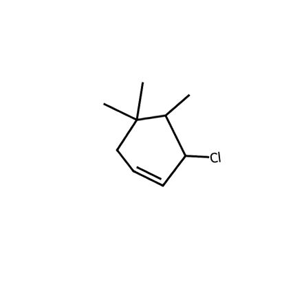 CC1C(Cl)C=CCC1(C)C